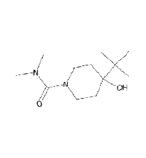 CN(C)C(=O)N1CCC(O)(C(C)(C)C)CC1